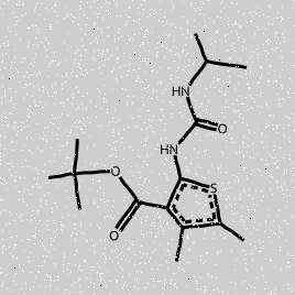 Cc1sc(NC(=O)NC(C)C)c(C(=O)OC(C)(C)C)c1C